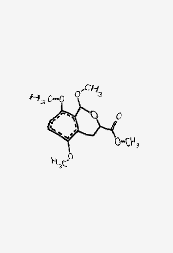 COC(=O)C1Cc2c(OC)ccc(OC)c2C(OC)O1